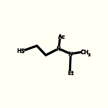 CCN(C)N(CCS)C(C)=O